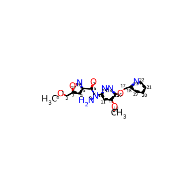 COCc1cc(C(=O)N(N)c2cc(OC)c(OCc3ccccn3)nn2)no1